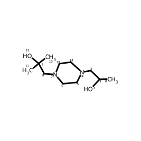 CC(O)CN1CCN(CC(C)(C)O)CC1